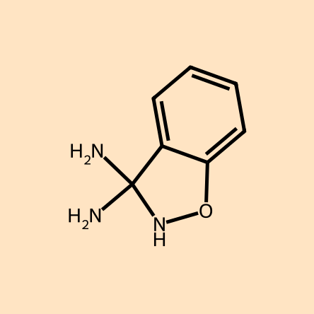 NC1(N)NOc2ccccc21